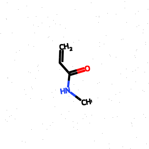 [CH]NC(=O)C=C